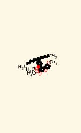 CCCCCCCCCCCCCCC.CCOC(=O)C1(C(=O)OCC)Cc2oc3ccc(OC)cc3c2C1c1ccccc1